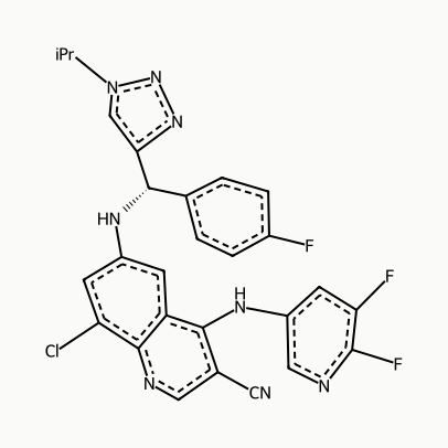 CC(C)n1cc([C@@H](Nc2cc(Cl)c3ncc(C#N)c(Nc4cnc(F)c(F)c4)c3c2)c2ccc(F)cc2)nn1